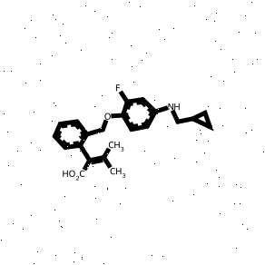 CC(C)=C(C(=O)O)c1ccccc1COc1ccc(NCC2CC2)cc1F